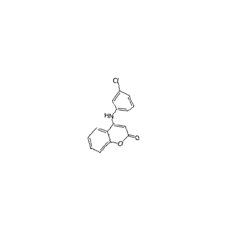 O=c1cc(Nc2cccc(Cl)c2)c2ccccc2o1